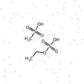 CCOS(=O)(=O)O.CS(=O)(=O)O